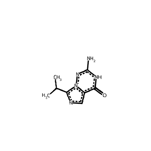 CC(C)c1ncc2c(=O)[nH]c(N)nn12